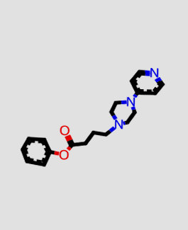 O=C(CCCN1CCN(c2ccncc2)CC1)Oc1ccccc1